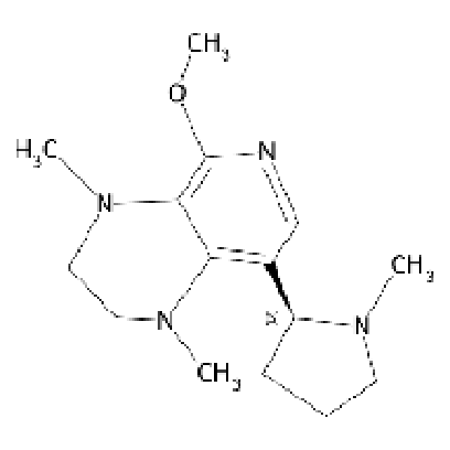 COc1ncc([C@@H]2CCCN2C)c2c1N(C)CCN2C